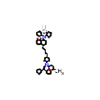 Cc1ccc(N(C=C(c2ccccc2)c2ccccc2)c2ccc(/C=C/C=C/c3ccc(N(c4ccccc4C)c4ccccc4C)c4ccccc34)cc2)cc1